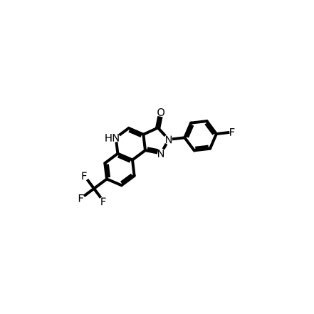 O=c1c2c[nH]c3cc(C(F)(F)F)ccc3c-2nn1-c1ccc(F)cc1